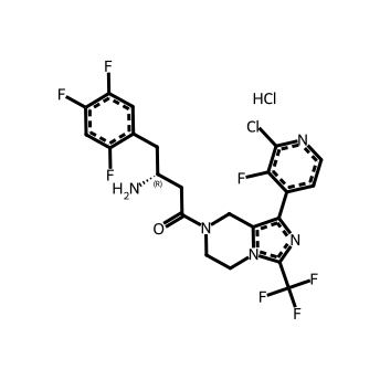 Cl.N[C@@H](CC(=O)N1CCn2c(C(F)(F)F)nc(-c3ccnc(Cl)c3F)c2C1)Cc1cc(F)c(F)cc1F